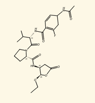 CCO[C@@H]1OC(=O)C[C@@H]1NC(=O)[C@@H]1CCCN1C(=O)[C@@H](NC(=O)C1=C(F)CC(NC(C)=O)C=C1)C(C)C